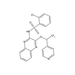 O=S(=O)(Nc1nc2ccccc2nc1OC(c1ccncc1)C(F)(F)F)c1ccccc1Cl